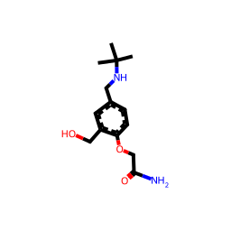 CC(C)(C)NCc1ccc(OCC(N)=O)c(CO)c1